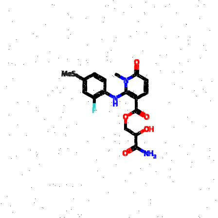 CSc1ccc(Nc2c(C(=O)OCC(O)C(N)=O)ccc(=O)n2C)c(F)c1